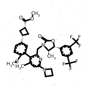 COc1ccc([C@H]2C[C@@H](C(=O)OC)C2)cc1-c1c(C)cc(N2CCC2)nc1CN1C(=O)O[C@H](c2cc(C(F)(F)F)cc(C(F)(F)F)c2)[C@@H]1C